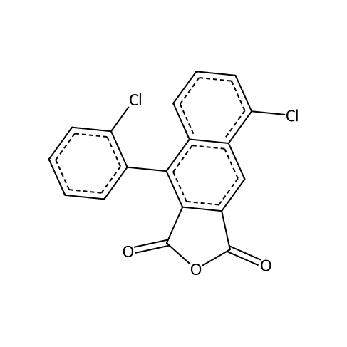 O=C1OC(=O)c2c1cc1c(Cl)cccc1c2-c1ccccc1Cl